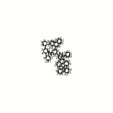 c1ccc(-c2ccc3c4ccccc4n(-c4cc(-c5cc(-c6cccc7c6-c6ccccc6C7(c6ccccc6)c6ccccc6)nc(-c6ccccc6)n5)cc(-c5cc6ccccc6c6ccccc56)c4)c3c2)cc1